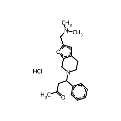 CC(=O)CC(c1ccccc1)N1CCc2cc(CN(C)C)oc2C1.Cl